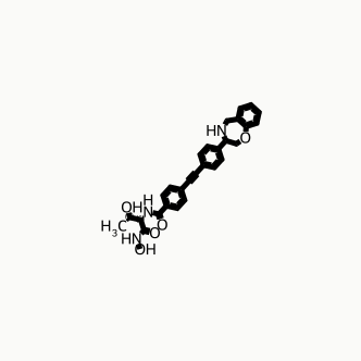 C[C@@H](O)[C@H](NC(=O)c1ccc(C#Cc2ccc(C3COc4ccccc4CN3)cc2)cc1)C(=O)NO